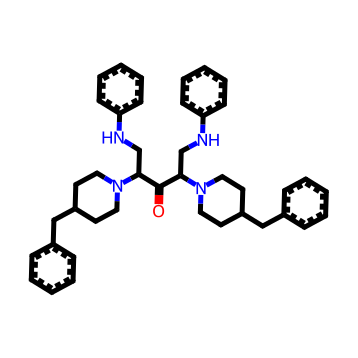 O=C(C(CNc1ccccc1)N1CCC(Cc2ccccc2)CC1)C(CNc1ccccc1)N1CCC(Cc2ccccc2)CC1